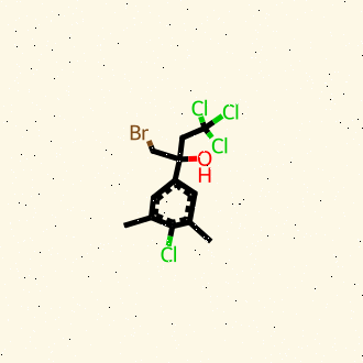 Cc1cc(C(O)(CBr)CC(Cl)(Cl)Cl)cc(C)c1Cl